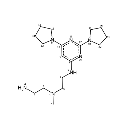 CN(CCN)CCNc1cc(N2CCCC2)nc(N2CCCC2)n1